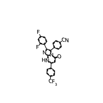 N#Cc1ccc(-c2c(-c3ccc(F)cc3F)nc3[nH]c(-c4ccc(C(F)(F)F)cc4)cc(=O)n23)cc1